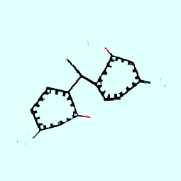 CC(c1ccc(C#N)cc1O)c1ccc(C#N)cc1O